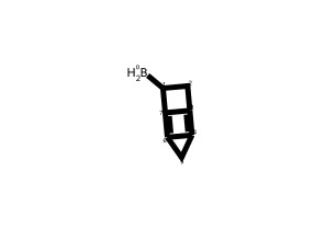 BC1CC2=C3CC3=C21